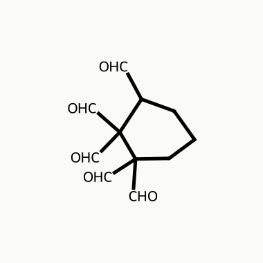 O=CC1CCCC(C=O)(C=O)C1(C=O)C=O